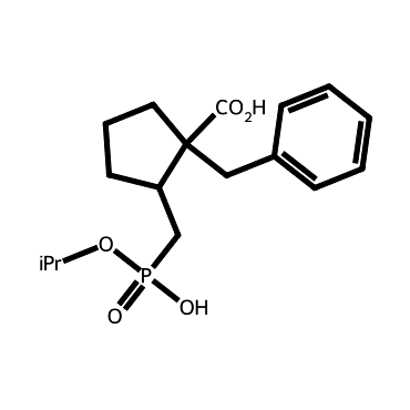 CC(C)OP(=O)(O)CC1CCCC1(Cc1ccccc1)C(=O)O